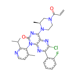 C=CC(=O)N1CCN(c2nc(=O)n(-c3c(C)ccnc3C(C)C)c3nc(-c4ccccc4F)c(Cl)nc23)[C@@H](C)C1